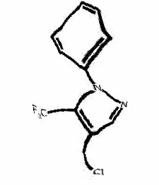 FC(F)(F)c1c(CCl)cnn1-c1ccccc1